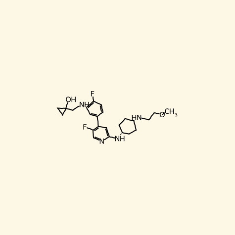 COCCN[C@H]1CC[C@H](Nc2cc(-c3ccc(F)c(NCC4(O)CC4)c3)c(F)cn2)CC1